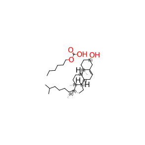 CC(C)CCC[C@@H](C)[C@H]1CC[C@H]2[C@@H]3CC=C4C[C@@H](O)CC[C@]4(C)[C@H]3CC[C@]12C.CCCCCCOC(=O)O